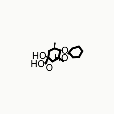 CC1C[C@](O)(C(=O)O)C[C@@H](C)[C@H]1OC1(O)CCCCC1